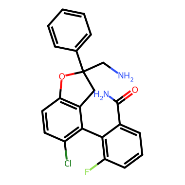 NCC1(c2ccccc2)Cc2c(ccc(Cl)c2-c2c(F)cccc2C(N)=O)O1